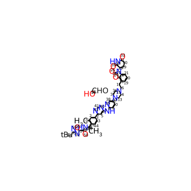 Cc1cc(-c2cc(Nc3ccc(N4CCN(CCc5cccc6c5oc(=O)n6C5CCC(=O)NC5=O)CC4)cn3)ncn2)ccc1[C@@H](C)NC(=O)c1nc(C(C)(C)C)no1.O=CO